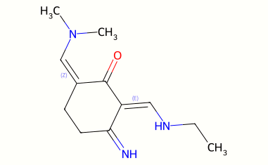 CCN/C=C1\C(=N)CC/C(=C/N(C)C)C1=O